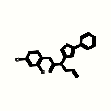 C=CCN(C(=O)Cc1ccc(Cl)cc1Cl)c1csc(-c2ccccc2)c1